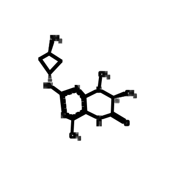 Cc1nc(N[C@H]2C[C@H](N)C2)nc2c1NC(=O)[C@H](C)N2C